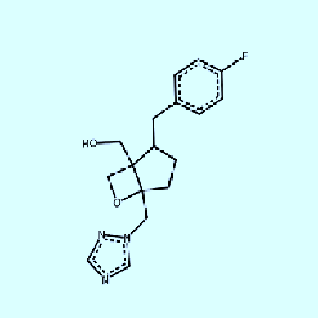 OCC12COC1(Cn1cncn1)CCC2Cc1ccc(F)cc1